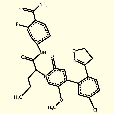 CCCC(C(=O)Nc1ccc(C(N)=O)c(F)c1)n1cc(OC)c(-c2cc(Cl)ccc2C2=NOCC2)cc1=O